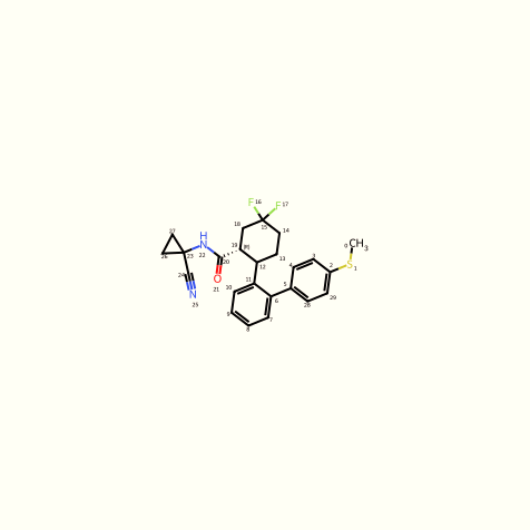 CSc1ccc(-c2ccccc2C2CCC(F)(F)C[C@H]2C(=O)NC2(C#N)CC2)cc1